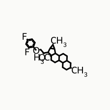 CC1CCC2C(CCC3C2CCC2(C)C(C(=O)COc4ccc(F)cc4F)C4C(C32)[C@@H]4C)C1